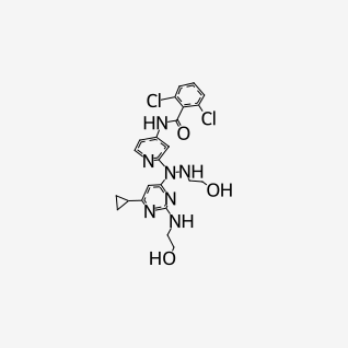 O=C(Nc1ccnc(N(NCCO)c2cc(C3CC3)nc(NCCO)n2)c1)c1c(Cl)cccc1Cl